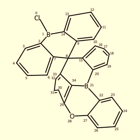 ClB1c2ccccc2C2(c3ccccc31)c1ccccc1B1c3ccccc3Oc3cccc2c31